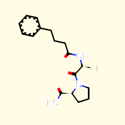 C[C@H](NC(=O)CCCc1ccccc1)C(=O)N1CCC[C@H]1C(N)=O